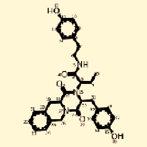 CCC(C(=O)NCCc1ccc(O)cc1)N1C(=O)C2Cc3ccccc3CN2C(=O)C1Cc1ccc(O)cc1